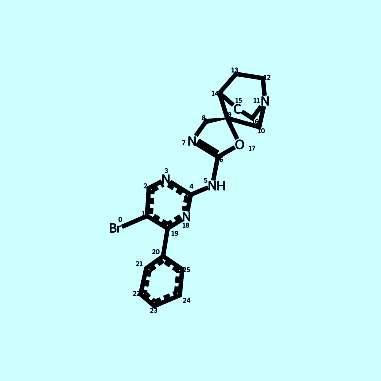 Brc1cnc(NC2=NC[C@@]3(CN4CCC3CC4)O2)nc1-c1ccccc1